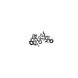 CC[C@H](C)[C@@H]([C@H](CC(=O)N1CCC[C@H]1[C@H](OC)[C@@H](C)C(=O)N[C@H](CO)Cc1cccc(N)c1)OC)N(C)C(=O)[C@@H](Nc1ncccn1)C(C)C